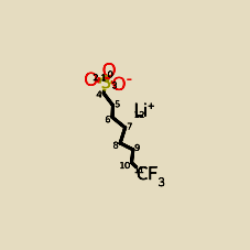 O=S(=O)([O-])CCCCCCCC(F)(F)F.[Li+]